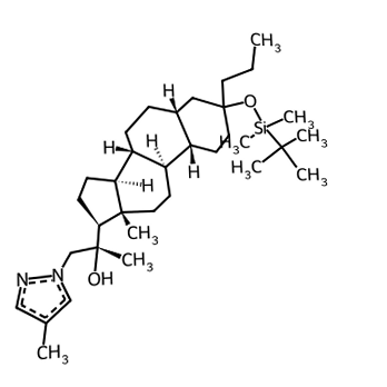 CCCC1(O[Si](C)(C)C(C)(C)C)CC[C@H]2[C@H](CC[C@@H]3[C@@H]2CC[C@@]2(C)[C@H]3CC[C@@H]2[C@](C)(O)Cn2cc(C)cn2)C1